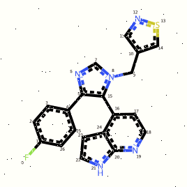 Fc1ccc(-c2ncn(Cc3cnsc3)c2-c2ccnc3[nH]ccc23)cc1